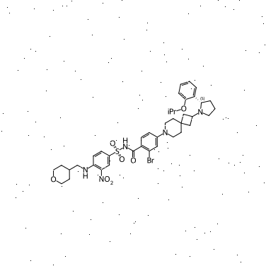 CC(C)Oc1ccccc1[C@@H]1CCCN1C1CC2(CCN(c3ccc(C(=O)NS(=O)(=O)c4ccc(NCC5CCOCC5)c([N+](=O)[O-])c4)c(Br)c3)CC2)C1